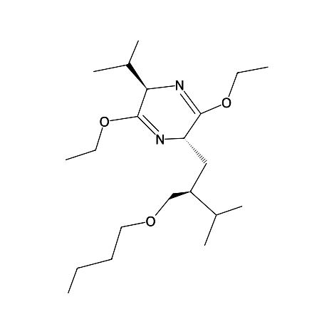 CCCCOC[C@@H](C[C@@H]1N=C(OCC)[C@@H](C(C)C)N=C1OCC)C(C)C